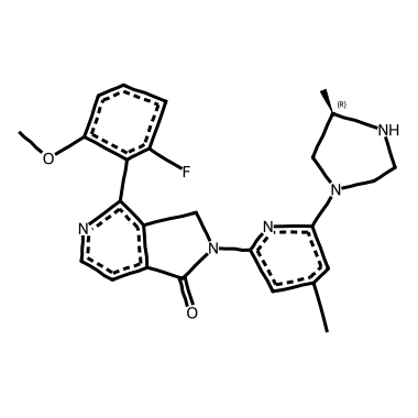 COc1cccc(F)c1-c1nccc2c1CN(c1cc(C)cc(N3CCN[C@H](C)C3)n1)C2=O